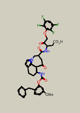 COc1ccc(Cc2ccccc2)c(OC(=O)NC2CCc3ccn4c3C2C(=O)CC(C(=O)NC(CC(=O)O)C(=O)COc2c(F)c(F)cc(F)c2F)C4)c1